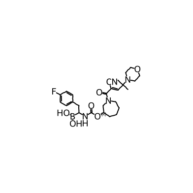 CC(C)(C=C(C#N)C(=O)N1CCCC[C@@H](OC(=O)NC(Cc2ccc(F)cc2)B(O)O)C1)N1CCOCC1